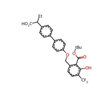 CCC(C(=O)O)c1ccc(-c2ccc(OCc3ccc(C(F)(F)F)c(O)c3C(=O)OC(C)(C)C)cc2)cc1